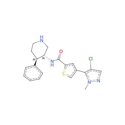 Cn1ncc(Cl)c1-c1csc(C(=O)N[C@H]2CNCC[C@@H]2c2ccccc2)c1